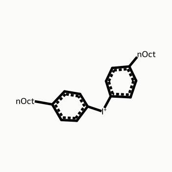 CCCCCCCCc1ccc([I+]c2ccc(CCCCCCCC)cc2)cc1